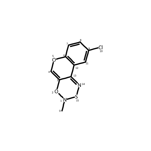 Cn1oc2coc3ccc(Cl)cc3c-2ns1